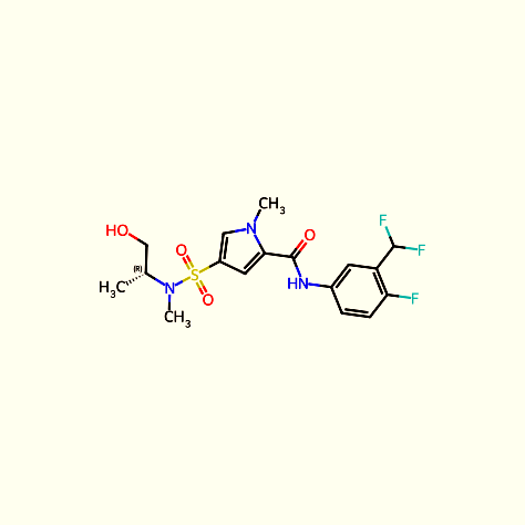 C[C@H](CO)N(C)S(=O)(=O)c1cc(C(=O)Nc2ccc(F)c(C(F)F)c2)n(C)c1